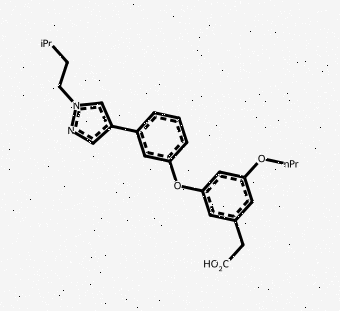 CCCOc1cc(CC(=O)O)cc(Oc2cccc(-c3cnn(CCC(C)C)c3)c2)c1